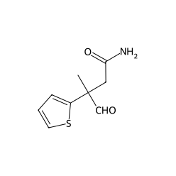 CC(C=O)(CC(N)=O)c1cccs1